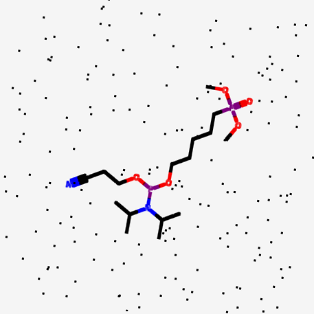 COP(=O)(CCCCCOP(OCCC#N)N(C(C)C)C(C)C)OC